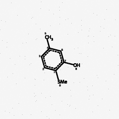 CSc1ccc(C)cc1O